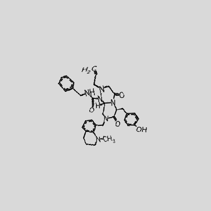 C=CCN1CC(=O)N2[C@@H](Cc3ccc(O)cc3)C(=O)N(Cc3cccc4c3N(C)CCC4)C[C@@H]2N1C(=O)NCc1ccccc1